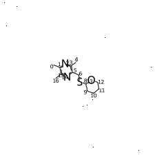 Cc1nc(C)c(CSC2CCCCO2)nc1C